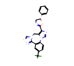 FC(F)(F)c1ccc2c(c1)-c1nncn1Cc1c(C3=NC[C@@H](c4ccccc4)O3)ncn1-2